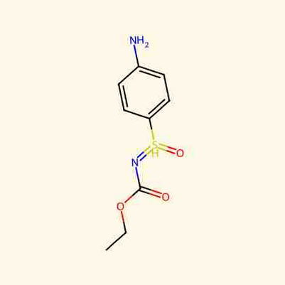 CCOC(=O)/N=[SH](=O)/c1ccc(N)cc1